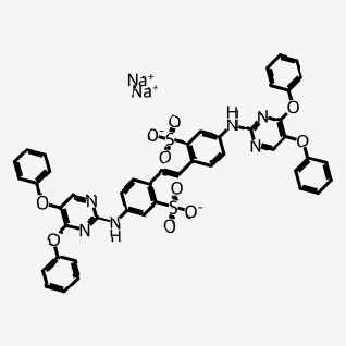 O=S(=O)([O-])c1cc(Nc2ncc(Oc3ccccc3)c(Oc3ccccc3)n2)ccc1/C=C/c1ccc(Nc2ncc(Oc3ccccc3)c(Oc3ccccc3)n2)cc1S(=O)(=O)[O-].[Na+].[Na+]